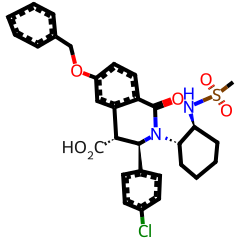 CS(=O)(=O)N[C@H]1CCCC[C@@H]1N1C(=O)c2ccc(OCc3ccccc3)cc2[C@@H](C(=O)O)[C@@H]1c1ccc(Cl)cc1